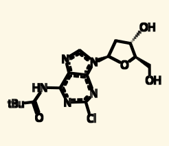 CC(C)(C)C(=O)Nc1nc(Cl)nc2c1ncn2[C@H]1C[C@H](O)[C@@H](CO)O1